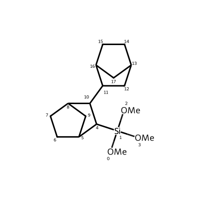 CO[Si](OC)(OC)C1C2CCC(C2)C1C1CC2CCC1C2